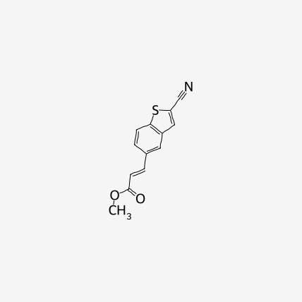 COC(=O)/C=C/c1ccc2sc(C#N)cc2c1